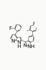 C=C/C=C(C)\C(=C/C)c1ccc2[nH]nc(-c3cc4c(-c5ccccc5F)ccnc4[nH]3)c2c1